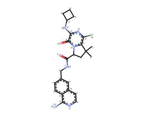 CC1(C)CC(C(=O)NCc2ccc3c(N)nccc3c2)n2c1c(Cl)nc(NC1CCC1)c2=O